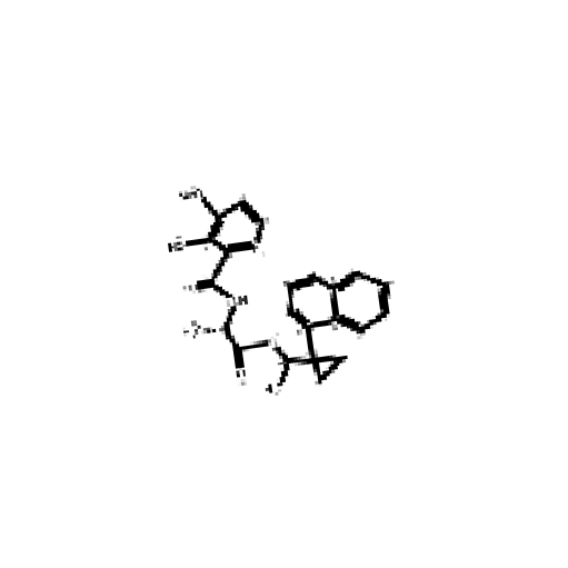 COc1ccnc(C(=O)N[C@@H](C)C(=O)OC(C)C2(c3cccc4ccccc34)CC2)c1O